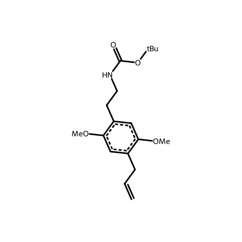 C=CCc1cc(OC)c(CCNC(=O)OC(C)(C)C)cc1OC